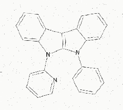 c1ccc(-n2c3ccccc3c3c4ccccc4n(-c4ccccn4)c32)cc1